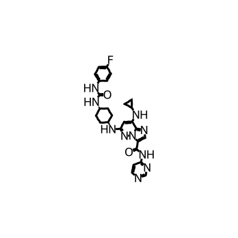 O=C(Nc1ccc(F)cc1)N[C@H]1CC[C@H](Nc2cc(NC3CC3)c3ncc(C(=O)Nc4ccncn4)n3n2)CC1